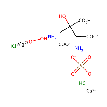 Cl.Cl.N.N.O=C([O-])CC(O)(CC(=O)[O-])C(=O)O.O=S(=O)([O-])[O-].OO.[Ca+2].[Mg+2]